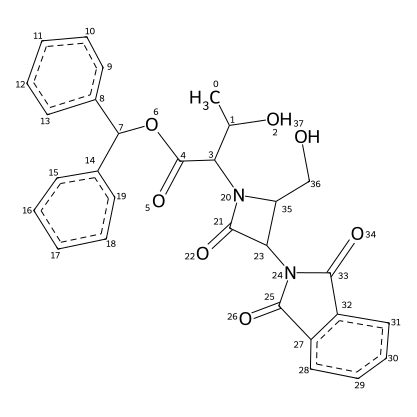 CC(O)C(C(=O)OC(c1ccccc1)c1ccccc1)N1C(=O)C(N2C(=O)c3ccccc3C2=O)C1CO